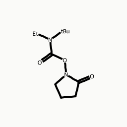 CCN(C(=O)ON1CCCC1=O)C(C)(C)C